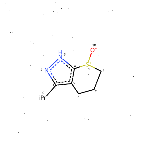 CC(C)c1n[nH]c2c1CCC[S+]2[O-]